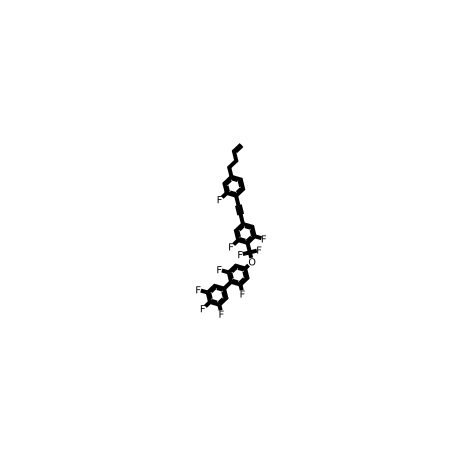 C=CCCc1ccc(C#Cc2cc(F)c(C(F)(F)Oc3cc(F)c(-c4cc(F)c(F)c(F)c4)c(F)c3)c(F)c2)c(F)c1